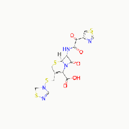 O=C(O)C1=C(CSN2C=NSC2)CS[C@H]2C(NC(=O)C(=O)c3cscn3)C(=O)N12